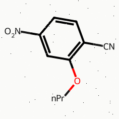 CCCOc1cc([N+](=O)[O-])ccc1C#N